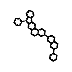 c1ccc(-c2ccc3ccc(-c4ccc5c(ccc6cc7c(cc65)c5ccccc5n7-c5ccccc5)c4)cc3c2)cc1